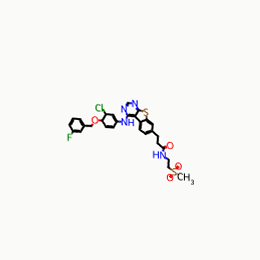 CS(=O)(=O)CCNC(=O)CCc1ccc2c(c1)sc1ncnc(NC3=CC(Cl)C(OCc4cccc(F)c4)C=C3)c12